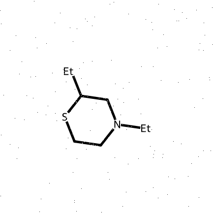 CCC1CN(CC)CCS1